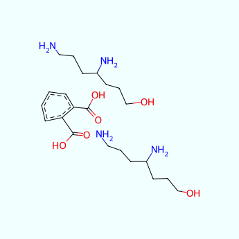 NCCCC(N)CCCO.NCCCC(N)CCCO.O=C(O)c1ccccc1C(=O)O